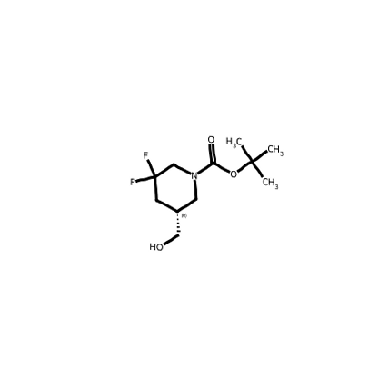 CC(C)(C)OC(=O)N1C[C@H](CO)CC(F)(F)C1